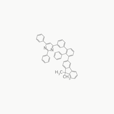 CC1(C)c2ccccc2-c2cc(-c3cccc(-c4cccc(-c5cc(-c6ccccc6)nc(-c6ccccc6)n5)c4)c3-c3ccccc3)ccc21